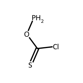 POC(=S)Cl